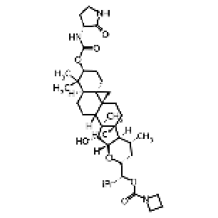 CC(C)[C@@H](OC(=O)N1CCC1)[C@H]1C[C@@H](C)[C@H]2[C@H](O1)[C@H](O)[C@@]1(C)[C@@H]3CC[C@H]4C(C)(C)[C@@H](OC(=O)N[C@@H]5CCNC5=O)CC[C@@]45C[C@@]35CC[C@]21C